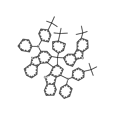 CC(C)(C)c1ccc(N(c2ccccc2)c2cc3c(c4c2sc2ccccc24)-c2c(cc(N(c4ccccc4)c4ccc(C(C)(C)C)cc4)c4c2oc2ccccc24)C3(c2ccc(C(C)(C)C)cc2)c2ccc3oc4ccc(C(C)(C)C)cc4c3c2)cc1